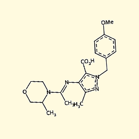 COc1ccc(Cn2nc(C)c(N=C(C)N3CCOCC3C)c2C(=O)O)cc1